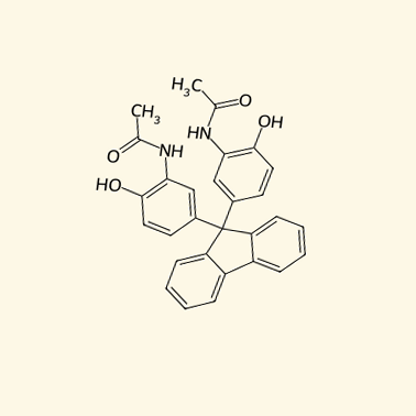 CC(=O)Nc1cc(C2(c3ccc(O)c(NC(C)=O)c3)c3ccccc3-c3ccccc32)ccc1O